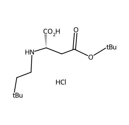 CC(C)(C)CCN[C@@H](CC(=O)OC(C)(C)C)C(=O)O.Cl